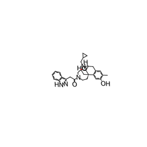 Cc1cc2c(cc1O)[C@@]13CCN(C(=O)Cc4n[nH]c5ccccc45)CC[C@@]1(O)[C@@H](C2)N(CC1CC1)CC3